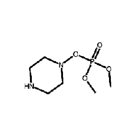 COP(=O)(OC)ON1CCNCC1